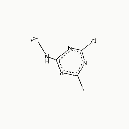 CC(C)Nc1nc(Cl)nc(I)n1